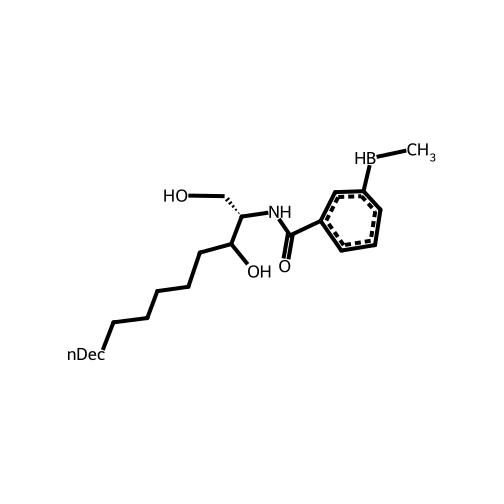 CBc1cccc(C(=O)N[C@@H](CO)C(O)CCCCCCCCCCCCCCC)c1